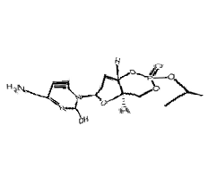 CC(C)OP1(=O)OC[C@H]2O[C@@H](N3C=CC(N)=NC3O)C[C@@H]2O1